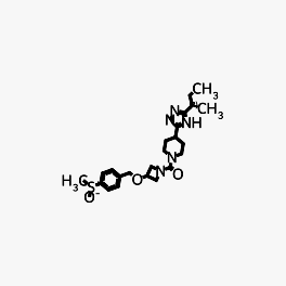 CC[C@@H](C)c1nnc(C2CCN(C(=O)N3CC(OCc4ccc([S+](C)[O-])cc4)C3)CC2)[nH]1